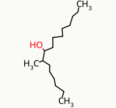 CCCCCCCCC(O)C(C)CCCCCC